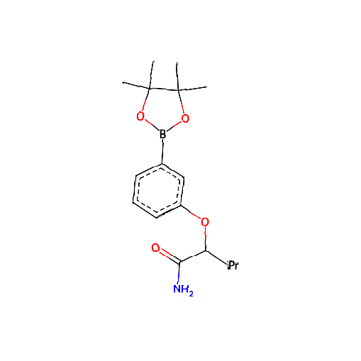 CC(C)C(Oc1cccc(B2OC(C)(C)C(C)(C)O2)c1)C(N)=O